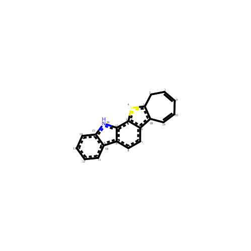 C1=CCc2sc3c(ccc4c5ccccc5[nH]c43)c2C=C1